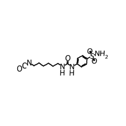 NS(=O)(=O)c1ccc(NC(=O)NCCCCCCN=C=O)cc1